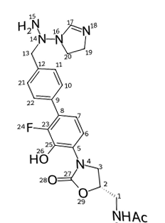 CC(=O)NC[C@H]1CN(c2ccc(-c3ccc(CN(N)N4C=NCC4)cc3)c(F)c2O)C(=O)O1